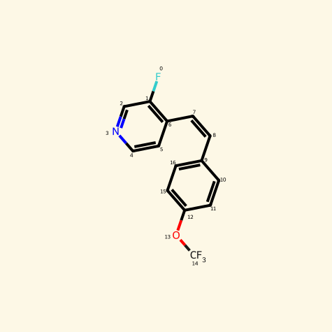 Fc1cnccc1/C=C\c1ccc(OC(F)(F)F)cc1